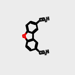 O=C(O)c1ccc2oc3ccc(C(=O)O)cc3c2c1